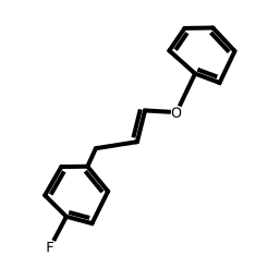 Fc1ccc(CC=COc2ccccc2)cc1